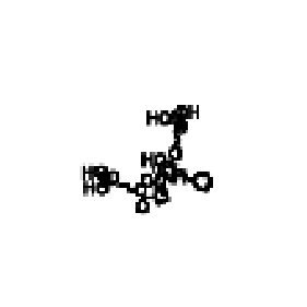 CCCC(NC(CCc1ccccc1)C(O)OCCCON(O)O)C(=O)N1CCCC1C(=O)OCCCON(O)O